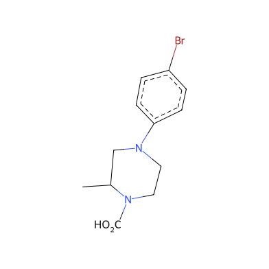 CC1CN(c2ccc(Br)cc2)CCN1C(=O)O